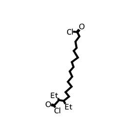 CCC(CCCCCCCCCCCCCC(=O)Cl)C(CC)C(=O)Cl